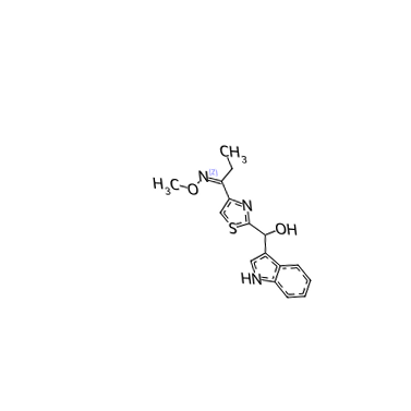 CC/C(=N/OC)c1csc(C(O)c2c[nH]c3ccccc23)n1